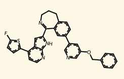 Fc1ccc(-c2ccnc3[nH]c(C4=NCCCc5ccc(-c6cncc(OCc7ccccc7)c6)cc54)cc23)s1